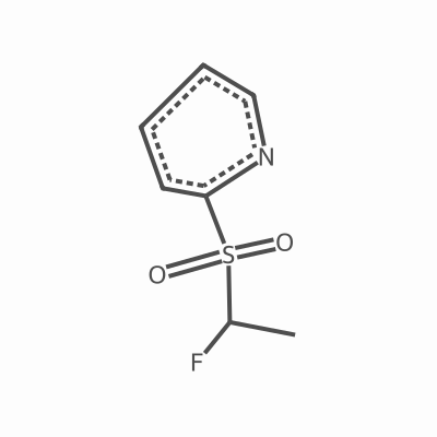 CC(F)S(=O)(=O)c1ccccn1